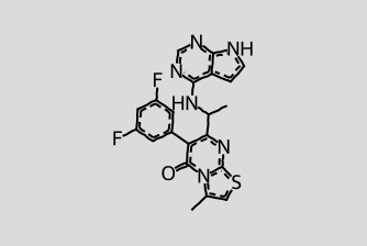 Cc1csc2nc(C(C)Nc3ncnc4[nH]ccc34)c(-c3cc(F)cc(F)c3)c(=O)n12